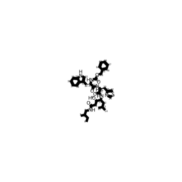 CCC(C)CNC(=O)CC(O)C(CC(C)C)NC(=O)[C@H](Cc1cscn1)NC(=O)[C@H](Cc1c[nH]c2ccccc12)NC(=O)OCc1ccccc1